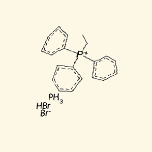 Br.CC[P+](c1ccccc1)(c1ccccc1)c1ccccc1.P.[Br-]